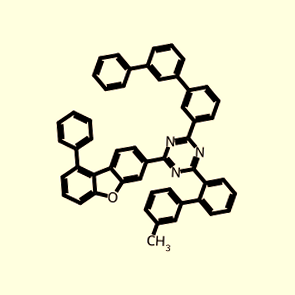 Cc1cccc(-c2ccccc2-c2nc(-c3cccc(-c4cccc(-c5ccccc5)c4)c3)nc(-c3ccc4c(c3)oc3cccc(-c5ccccc5)c34)n2)c1